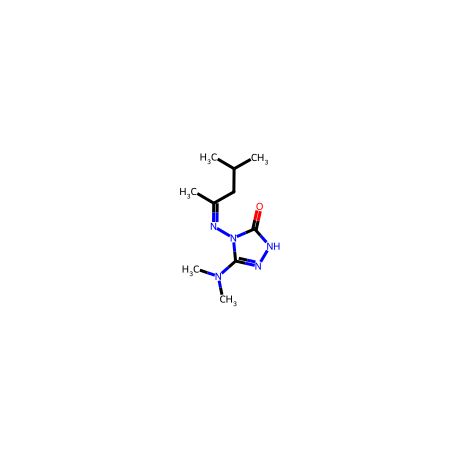 CC(CC(C)C)=Nn1c(N(C)C)n[nH]c1=O